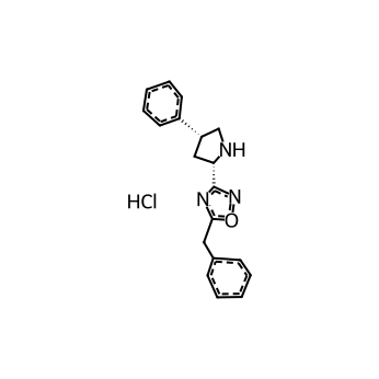 Cl.c1ccc(Cc2nc([C@@H]3C[C@H](c4ccccc4)CN3)no2)cc1